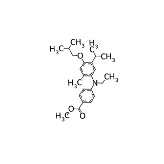 CCN(c1ccc(C(=O)OC)cc1)c1cc(C(C)C)c(OCC(C)C)cc1C